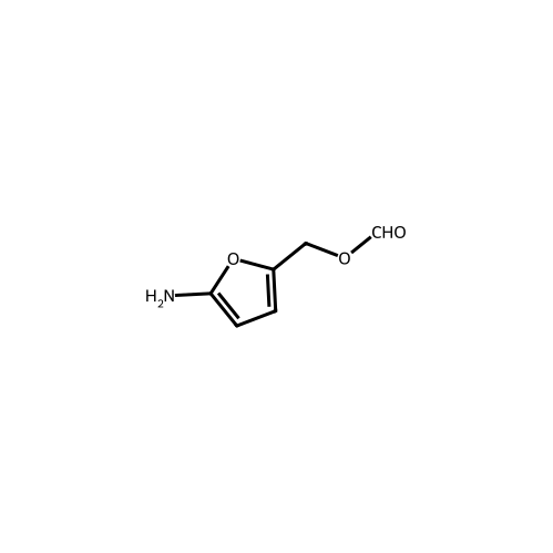 Nc1ccc(COC=O)o1